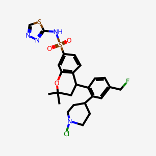 CC1(C)CC(c2ccc(CF)cc2C2CCN(Cl)CC2)c2ccc(S(=O)(=O)Nc3nncs3)cc2O1